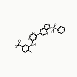 Cc1ccc([N+](=O)[O-])cc1Nc1cc(-c2cnc3c(ccn3S(=O)(=O)c3ccccc3)c2)ncn1